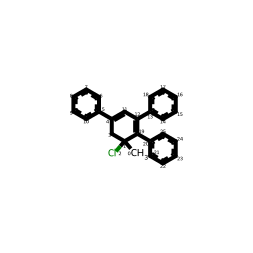 CC1(Cl)CC(c2ccccc2)=CC(c2ccccc2)=C1c1ccccc1